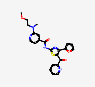 COCCN(C)c1cc(C(=O)Nc2nc(-c3ccco3)c(C(=O)c3ccccn3)s2)ccn1